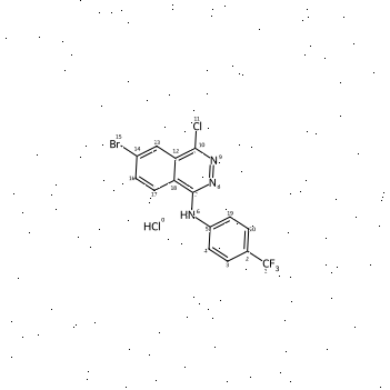 Cl.FC(F)(F)c1ccc(Nc2nnc(Cl)c3cc(Br)ccc23)cc1